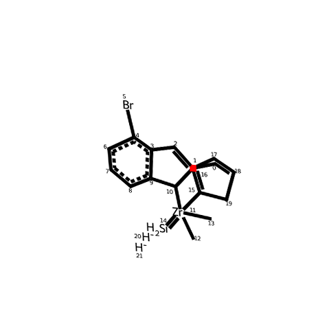 CC1=Cc2c(Br)cccc2[CH]1[Zr]([CH3])([CH3])(=[SiH2])[C]1=CC=CC1.[H-].[H-]